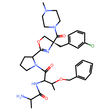 CC(N)C(=O)NC(C(=O)N1CCCC1C1=N[C@@](Cc2cccc(Cl)c2)(C(=O)N2CCN(C)CC2)CO1)C(C)OCc1ccccc1